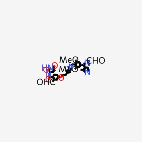 COc1cc(/C(=C/N(C)C=O)c2ccncc2C)cc(OC)c1CN1CC2(CC(CCOc3ccc(C(=O)N(C)C4CCC(=O)NC4=O)c(C=O)c3)C2)C1